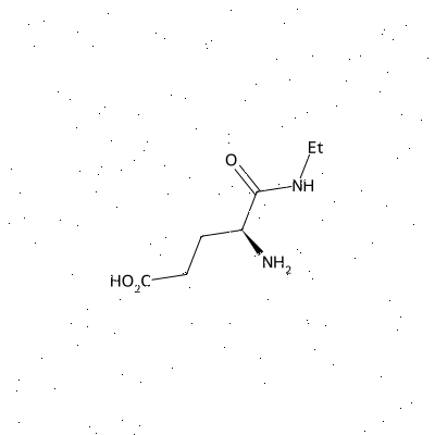 CCNC(=O)[C@@H](N)CCC(=O)O